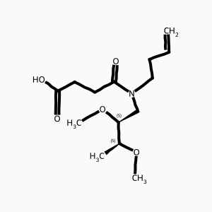 C=CCCN(C[C@H](OC)[C@H](C)OC)C(=O)CCC(=O)O